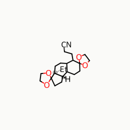 CC[C@]12CCC3C(CCC4(OCCO4)C3CCC#N)[C@@H]1CCC21OCCO1